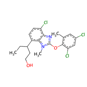 CCC(CCO)c1ccc(Cl)c2nc(Oc3c(C)cc(Cl)cc3Cl)n(C)c12